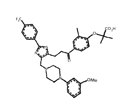 COc1cccc(N2CCN(Cc3nc(-c4ccc(C(F)(F)F)cc4)sc3CCC(=O)c3ccc(OC(C)(C)C(=O)O)c(C)c3)CC2)c1